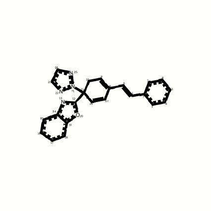 C(=Cc1ccccc1)C1=CCC(c2nc3ccccc3o2)(n2nccn2)C=C1